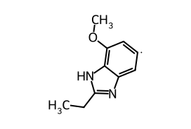 CCc1nc2c[c]cc(OC)c2[nH]1